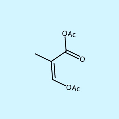 CC(=O)OC=C(C)C(=O)OC(C)=O